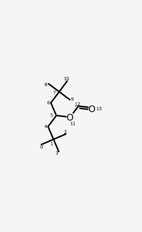 CC(C)(C)CC(CC(C)(C)C)O[C]=O